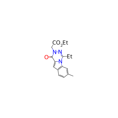 CCOC(=O)Cn1nc(CC)n2c(cc3ccc(C)cc32)c1=O